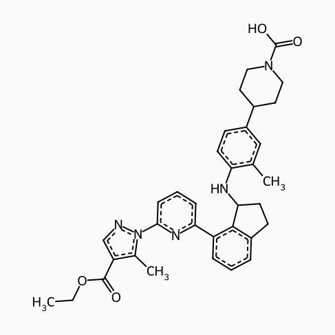 CCOC(=O)c1cnn(-c2cccc(-c3cccc4c3C(Nc3ccc(C5CCN(C(=O)O)CC5)cc3C)CC4)n2)c1C